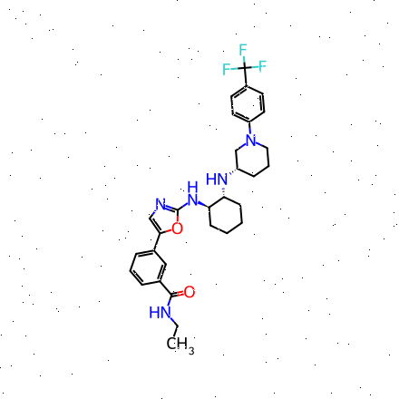 CCNC(=O)c1cccc(-c2cnc(N[C@@H]3CCCC[C@H]3N[C@H]3CCCN(c4ccc(C(F)(F)F)cc4)C3)o2)c1